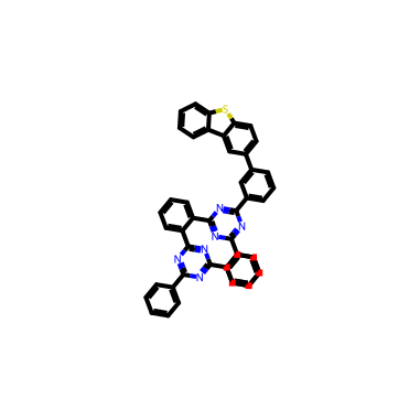 c1ccc(-c2nc(-c3ccccc3)nc(-c3ccccc3-c3nc(-c4ccccc4)nc(-c4cccc(-c5ccc6sc7ccccc7c6c5)c4)n3)n2)cc1